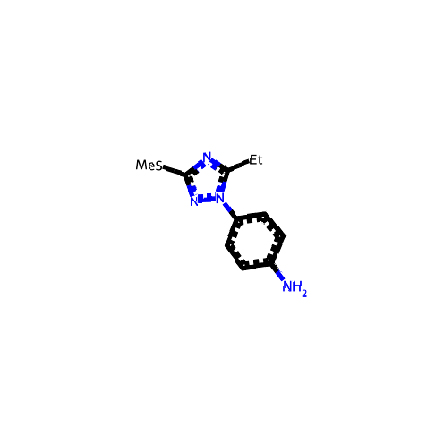 CCc1nc(SC)nn1-c1ccc(N)cc1